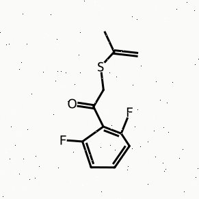 C=C(C)SCC(=O)c1c(F)cccc1F